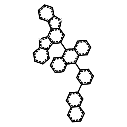 c1cc(-c2ccc3ccccc3c2)cc(-c2c3ccccc3c(-c3cc4sc5ccccc5c4c4sc5ccccc5c34)c3ccccc23)c1